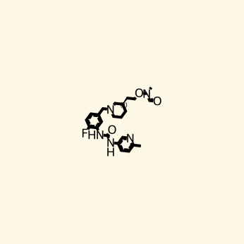 Cc1ccc(NC(=O)Nc2cc(CN3CCC[C@H](CCON(C)C=O)C3)ccc2F)cn1